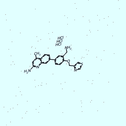 Cc1cc(N)nc2cc(-c3ccc(OCc4cscn4)c(CN)c3)ccc12.Cl.Cl.Cl